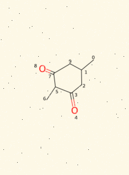 CC1CC(=O)C(C)C(=O)C1